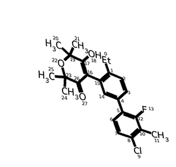 CCc1ccc(-c2ccc(Cl)c(C)c2F)cc1C1=C(O)C(C)(C)OC(C)(C)C1=O